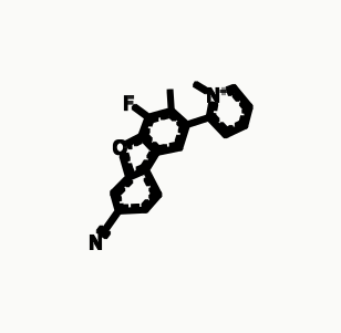 Cc1c(-c2cccc[n+]2C)cc2c(oc3cc(C#N)ccc32)c1F